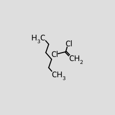 C=C(Cl)Cl.CCCCCC